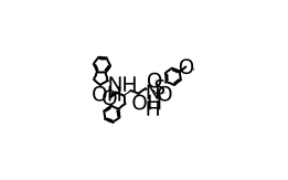 COc1ccc(S(=O)(=O)NC[C@@H](O)C[C@@H](Cc2ccccc2)C(=O)N[C@H]2c3ccccc3C[C@H]2O)cc1